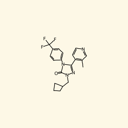 Cc1cnccc1-c1nn(CC2CCC2)c(=O)n1-c1ccc(C(F)(F)F)cc1